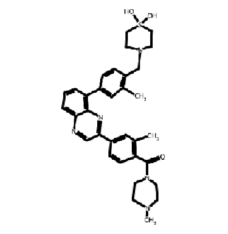 Cc1cc(-c2cccc3ncc(-c4ccc(C(=O)N5CCN(C)CC5)c(C)c4)nc23)ccc1CN1CCS(O)(O)CC1